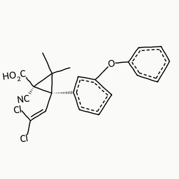 CC1(C)[C@](C#N)(C(=O)O)[C@@]1(C=C(Cl)Cl)c1cccc(Oc2ccccc2)c1